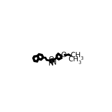 C[C](C)CCOc1ccc(-c2nnc(CCc3ccc4ccccc4c3)o2)cc1